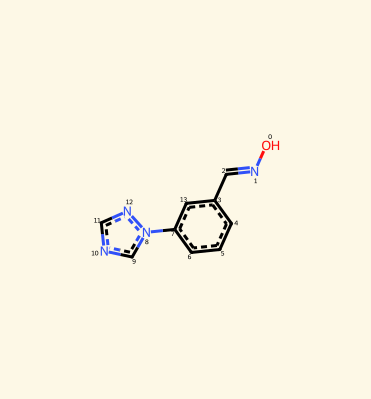 O/N=C/c1cccc(-n2cncn2)c1